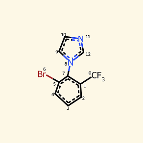 FC(F)(F)c1cccc(Br)c1-n1ccnc1